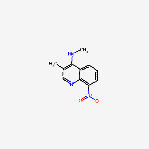 CNc1c(C)cnc2c([N+](=O)[O-])cccc12